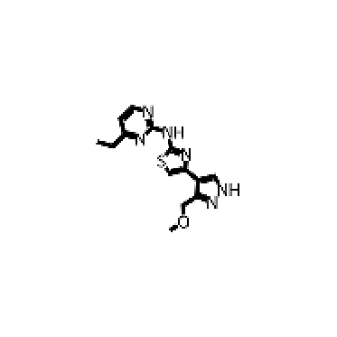 CCc1ccnc(Nc2nc(-c3c[nH]nc3COC)cs2)n1